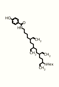 C=CC(CCCCCC)CCC(C=C)CCC(C=C)CCC(C=C)CCCCNC(=O)c1ccc(O)cc1